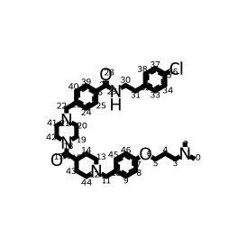 CN(C)CCCOc1ccc(CN2CCC(C(=O)N3CCN(Cc4ccc(C(=O)NCCc5ccc(Cl)cc5)cc4)CC3)CC2)cc1